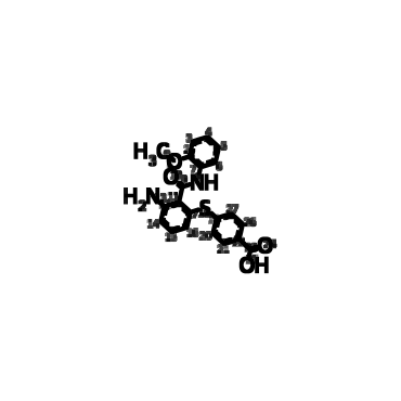 COc1ccccc1NC(=O)c1c(N)cccc1Sc1ccc(C(=O)O)cc1